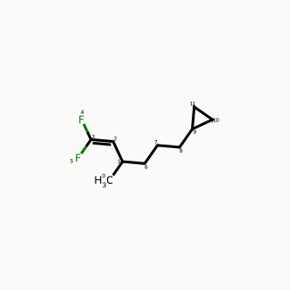 CC(C=C(F)F)CCCC1[CH]C1